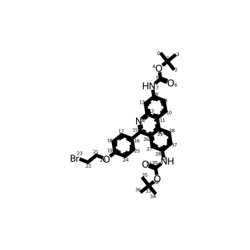 CC(C)(C)OC(=O)Nc1ccc2c(c1)nc(-c1ccc(OCCBr)cc1)c1cc(NC(=O)OC(C)(C)C)ccc12